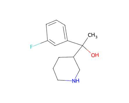 CC(O)(c1cccc(F)c1)C1CCCNC1